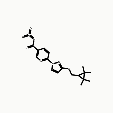 CC1(C)C(COc2ccn(-c3ccc(C(=O)N=S(=O)=O)cn3)n2)C1(C)C